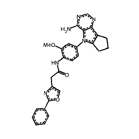 COc1cc(-n2c3c(c4ncnc(N)c42)CCC3)ccc1NC(=O)Cc1coc(-c2ccccc2)n1